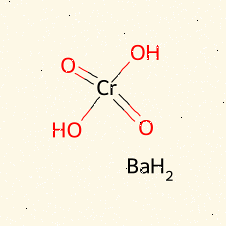 [BaH2].[O]=[Cr](=[O])([OH])[OH]